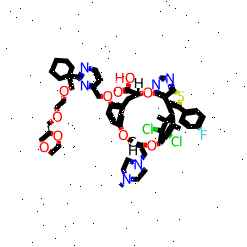 Cc1c(Cl)c2c(Cl)c(C)c1-c1c(-c3ccc(F)cc3)sc3ncnc(c13)O[C@@H](C(=O)O)Cc1cc(ccc1OCc1ccnc(C3(COCCOC[C@H]4COCCO4)CCCCC3)n1)OC[C@@H](CN1CCN(C)CC1)O2